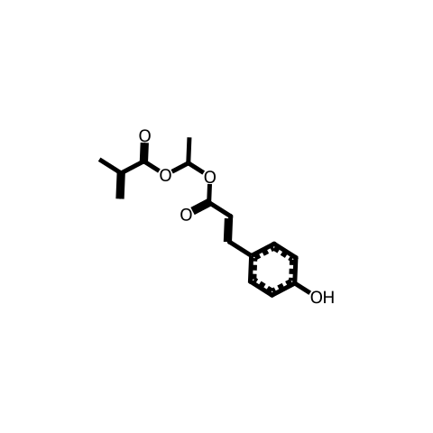 C=C(C)C(=O)OC(C)OC(=O)C=Cc1ccc(O)cc1